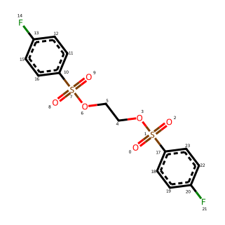 O=S(=O)(OCCOS(=O)(=O)c1ccc(F)cc1)c1ccc(F)cc1